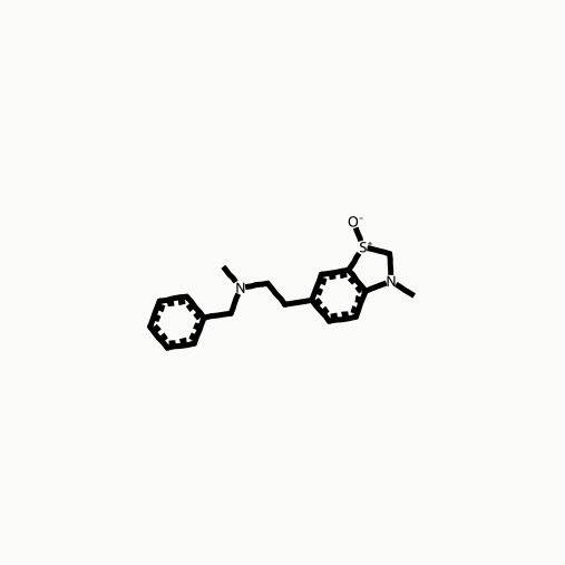 CN(CCc1ccc2c(c1)[S+]([O-])CN2C)Cc1ccccc1